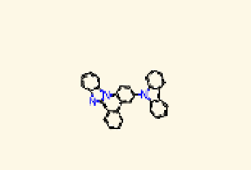 c1ccc2c(c1)nc1c3ccccc3c3cc(-n4c5ccccc5c5ccccc54)ccc3n21